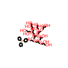 OCC(O)COCC(COCC(COc1ccc(P(c2ccccc2)c2ccccc2)cc1)OCC(COCC(COCC(O)CO)OCC(O)CO)OCC(COCC(O)CO)OCC(O)CO)OCC(O)CO